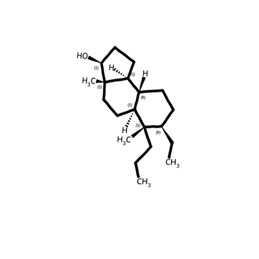 CCC[C@@]1(C)[C@H](CC)CC[C@@H]2[C@@H]1CC[C@]1(C)[C@@H](O)CC[C@@H]21